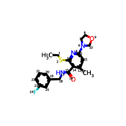 CCSc1nc(N2CCOC2)cc(C)c1C(=O)NCc1cccc(F)c1